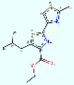 CCOC(=O)c1nc(-c2csc(C)n2)sc1CC(C)C